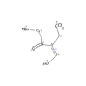 CCCCOC(=O)/C(=C\O)CC(Cl)(Cl)Cl